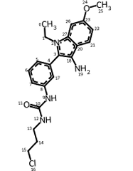 CCn1c(-c2cccc(NC(=O)NCCCCl)c2)c(N)c2ccc(OC)cc21